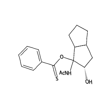 CC(=O)NC1(OC(=S)c2ccccc2)C2CCCC2C[C@@H]1O